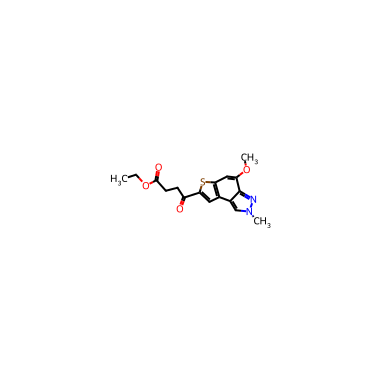 CCOC(=O)CCC(=O)c1cc2c(cc(OC)c3nn(C)cc32)s1